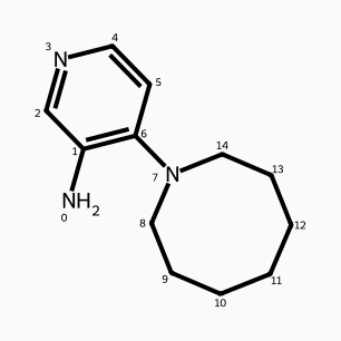 Nc1cnccc1N1CCCCCCC1